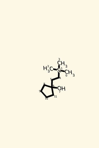 C[Si](C)(C)CCC1(O)CCCC1